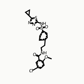 COc1ccc(Cl)cc1C(=O)NCCc1ccc(S(=O)(=O)Nc2nnc(C3CC3)s2)cc1